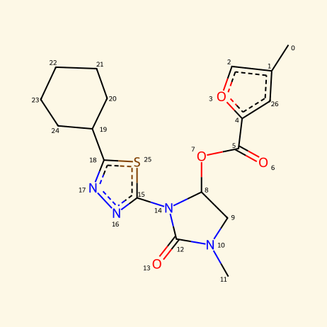 Cc1coc(C(=O)OC2CN(C)C(=O)N2c2nnc(C3CCCCC3)s2)c1